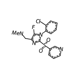 CNCc1nc(S(=O)(=O)c2cccnc2)n(-c2ccccc2Cl)c1F